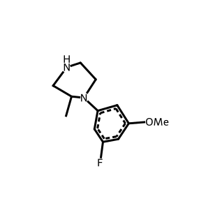 COc1cc(F)cc(N2CCNCC2C)c1